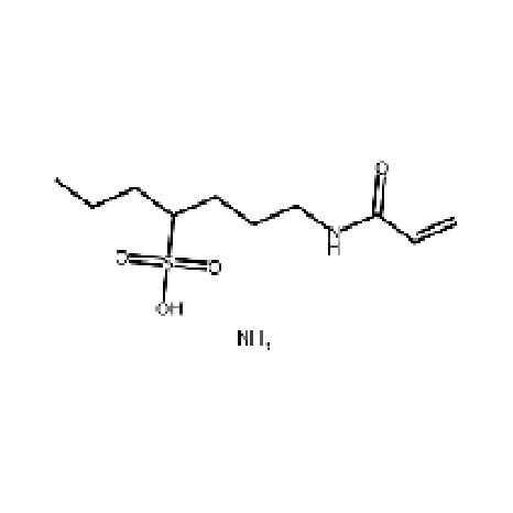 C=CC(=O)NCCCC(CCC)S(=O)(=O)O.N